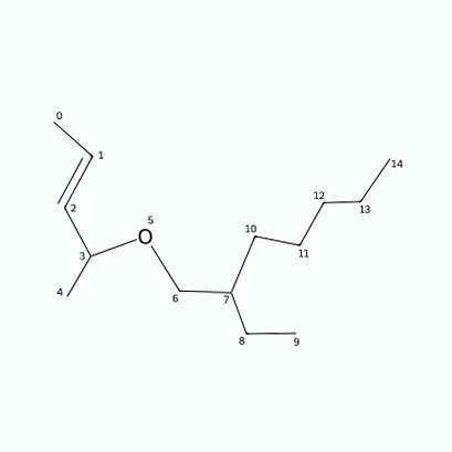 C/C=C/C(C)OCC(CC)CCCCC